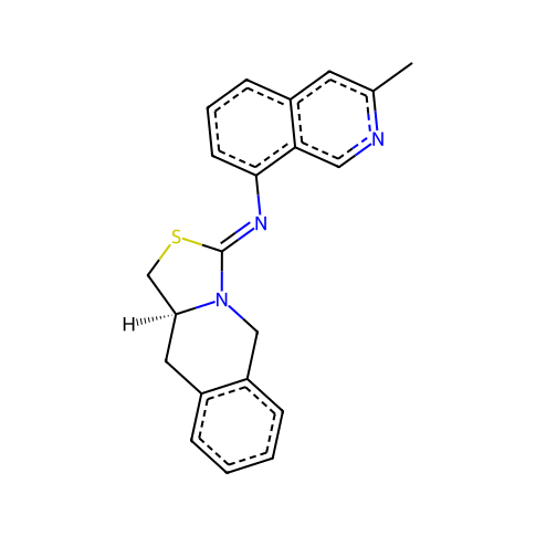 Cc1cc2cccc(N=C3SC[C@@H]4Cc5ccccc5CN34)c2cn1